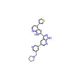 c1cc(-c2ccsc2)c2cc(-c3n[nH]c4ncc(-c5cncc(CN6CCCC6)c5)cc34)[nH]c2n1